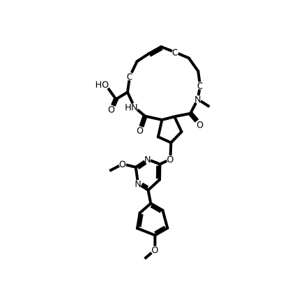 COc1ccc(-c2cc(OC3CC4C(=O)NC(C(=O)O)CCC=CCCCCN(C)C(=O)C4C3)nc(OC)n2)cc1